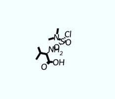 CC(C)[C@H](N)C(=O)O.CN(C)S(=O)(=O)Cl